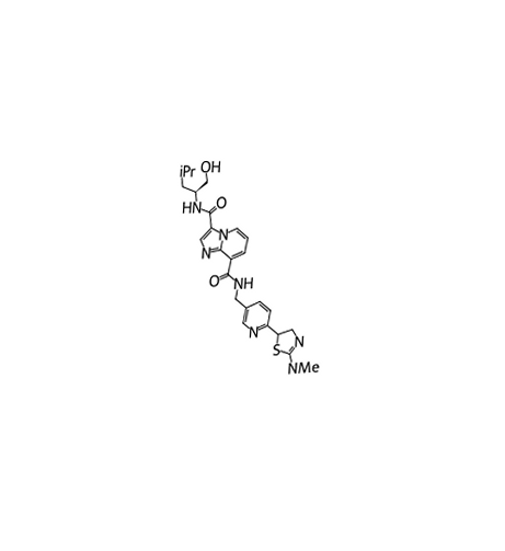 CNC1=NCC(c2ccc(CNC(=O)c3cccn4c(C(=O)N[C@H](CO)CC(C)C)cnc34)cn2)S1